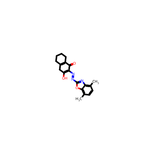 Cc1ccc(C)c2oc(N=NC3=C(O)CC4=C(CCCC4)C3=O)nc12